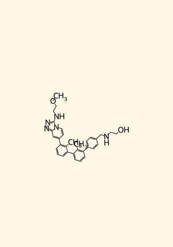 COCCNc1nnc2cc(-c3cccc(-c4cccc(-c5ccc(CNCCO)cc5)c4C)c3C)ccn12